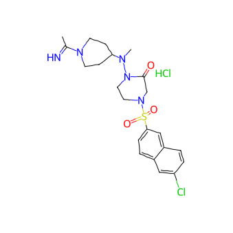 CC(=N)N1CCC(N(C)N2CCN(S(=O)(=O)c3ccc4cc(Cl)ccc4c3)CC2=O)CC1.Cl